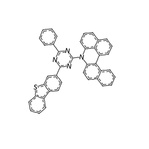 c1ccc(-c2nc(-c3ccc4c(c3)sc3ccccc34)nc(N3c4ccc5ccccc5c4-c4cccc5cccc3c45)n2)cc1